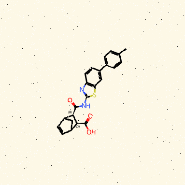 Cc1ccc(-c2ccc3nc(NC(=O)[C@@H]4C5C=CC(C5)[C@@H]4C(=O)O)sc3c2)cc1